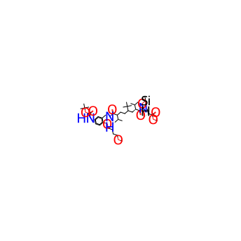 COCCCCOc1ccc(NC(=O)OC(C)(C)C)cc1CNC(=O)C(CCC(C[C@H](C(=O)N(C[C@@H](C)C(=O)OC)O[SiH](C)C)C(C)C)C(C)(C)C)C(C)C